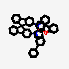 c1ccc(-c2cccc(N(c3ccc4c(c3)C3(c5ccccc5-c5ccc(N(c6ccccc6)c6ccccc6)cc53)c3ccccc3-4)c3cccc4c3oc3ccccc34)c2)cc1